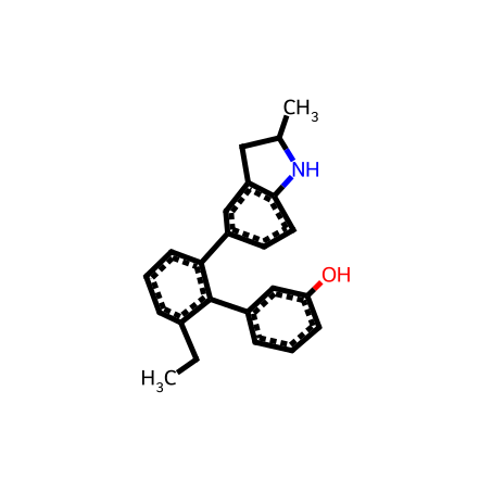 CCc1cccc(-c2ccc3c(c2)CC(C)N3)c1-c1cccc(O)c1